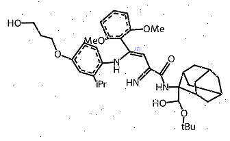 COc1cccc(OC)c1/C(=C/C(=N)C(=O)NC1(C(O)OC(C)(C)C)C2CC3CC(C2)CC1C3)Nc1ccc(OCCCO)cc1C(C)C